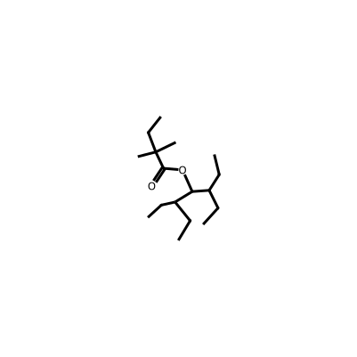 CCC(CC)C(OC(=O)C(C)(C)CC)C(CC)CC